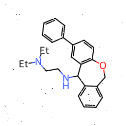 CCN(CC)CCNC1c2ccccc2COc2ccc(-c3ccccc3)cc21